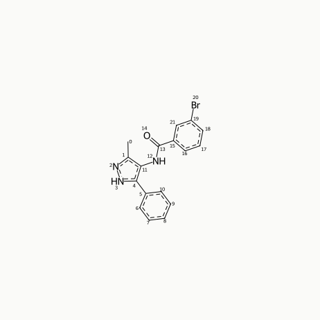 Cc1n[nH]c(-c2ccccc2)c1NC(=O)c1cccc(Br)c1